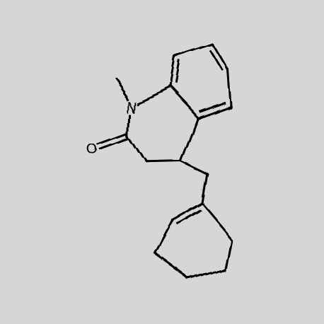 CN1C(=O)CC(CC2=CCCCC2)c2ccccc21